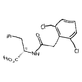 CC(C)C[C@H](NC(=O)Cc1c(Cl)cccc1Cl)C(=O)O